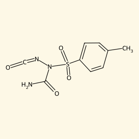 Cc1ccc(S(=O)(=O)N(N=C=O)C(N)=O)cc1